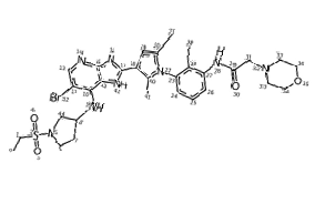 CCS(=O)(=O)N1CCC(Nc2c(Br)cnc3nc(-c4cc(C)n(-c5cccc(NC(=O)CN6CCOCC6)c5C)c4C)[nH]c23)C1